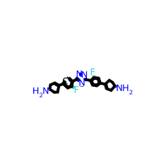 Cn1c(-c2ccc(C3=CCC(N)CC3)cc2F)nnc1-c1ccc(C2=CCC(N)CC2)cc1F